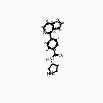 O=C(N[C@H]1CCNC1)c1ccc(-c2nccc3occc23)cc1